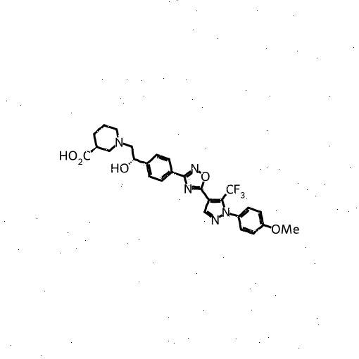 COc1ccc(-n2ncc(-c3nc(-c4ccc([C@H](O)CN5CCC[C@H](C(=O)O)C5)cc4)no3)c2C(F)(F)F)cc1